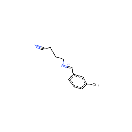 Cc1cccc(/C=N/CCCC#N)c1